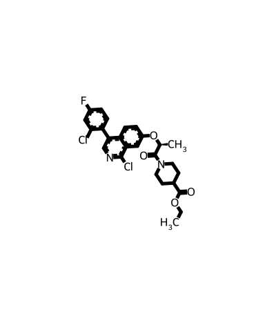 CCOC(=O)C1CCN(C(=O)[C@H](C)Oc2ccc3c(-c4ccc(F)cc4Cl)cnc(Cl)c3c2)CC1